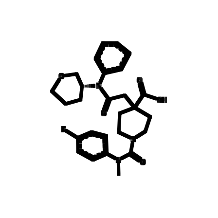 CN(C(=O)N1CCC(CC(=O)N(c2ccccc2)[C@@H]2CCCOC2)(C(=O)O)CC1)c1ccc(F)cc1